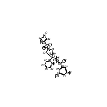 Cn1cnc(S(=O)(=O)N2CC3C(C2)C3(CNC(=O)c2cc(F)cc(F)c2)c2ccccn2)c1